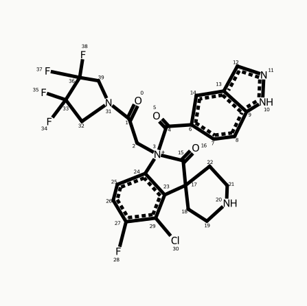 O=C(C[N+]1(C(=O)c2ccc3[nH]ncc3c2)C(=O)C2(CCNCC2)c2c1ccc(F)c2Cl)N1CC(F)(F)C(F)(F)C1